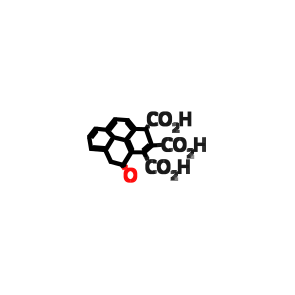 O=C(O)C1=C(C(=O)O)C(C(=O)O)C2=CC=C3C=CC=C4CC(=O)C1=C2C34